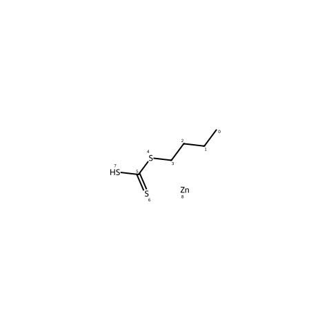 CCCCSC(=S)S.[Zn]